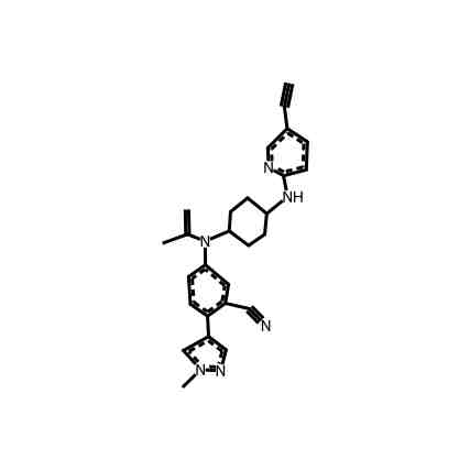 C#Cc1ccc(NC2CCC(N(C(=C)C)c3ccc(-c4cnn(C)c4)c(C#N)c3)CC2)nc1